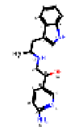 CC(Cc1c[nH]c2ccccc12)NCC(O)c1ccc(N)nc1